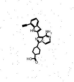 C#Cc1cccc2cc(-c3nc(C4CCC(C(=O)O)CC4)n4ccnc(N)c34)[nH]c12